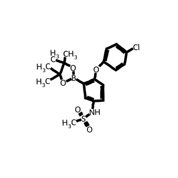 CC1(C)OB(c2cc(NS(C)(=O)=O)ccc2Oc2ccc(Cl)cc2)OC1(C)C